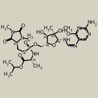 COc1nc(N)ncc1/N=C\N[C@@H]1O[C@H](COP(=O)(N[C@H](C)C(=O)OC(C)C)SC[C@H]2C(=O)N(C)C(=O)N2C)[C@@H](O)[C@@]1(C)O